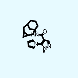 Cn1ncc(C(=O)NC23CCCC(CC4CC4C2)C3)c1-n1cccc1